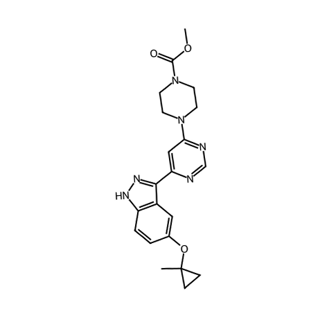 COC(=O)N1CCN(c2cc(-c3n[nH]c4ccc(OC5(C)CC5)cc34)ncn2)CC1